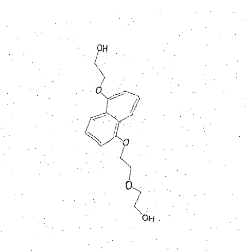 OCCOCCOc1cccc2c(OCCO)cccc12